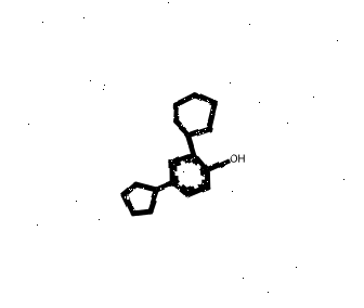 Oc1ccc(C2CCCC2)cc1C1CCCCC1